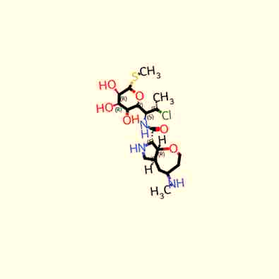 CNC1CCO[C@@H]2[C@H](CN[C@@H]2C(=O)N[C@H]([C@H](C)Cl)[C@H]2OC(SC)[C@H](O)[C@H](O)C2O)C1